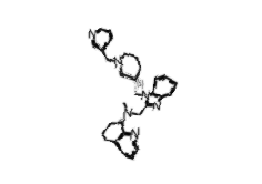 CN(Cc1nc2ccccc2n1C[C@H]1CCCN(Cc2cccnc2)C1)[C@H]1CCCc2cccnc21